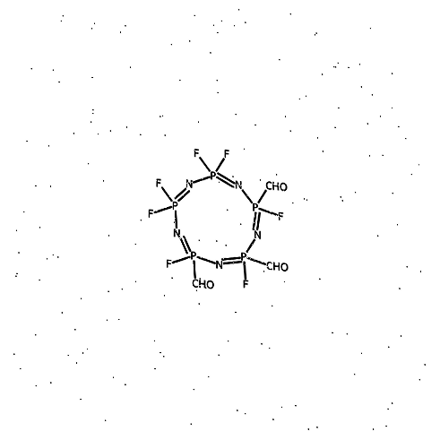 O=CP1(F)=NP(F)(F)=NP(F)(F)=NP(F)(C=O)=NP(F)(C=O)=N1